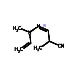 C=CN(C)/N=C\C(C)C#N